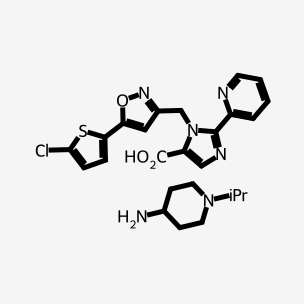 CC(C)N1CCC(N)CC1.O=C(O)c1cnc(-c2ccccn2)n1Cc1cc(-c2ccc(Cl)s2)on1